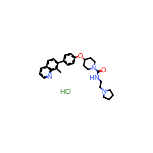 Cc1c(-c2ccc(OC3CCN(C(=O)NCCN4CCCC4)CC3)cc2)ccc2cccnc12.Cl